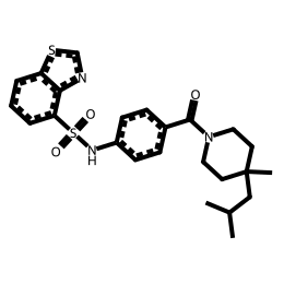 CC(C)CC1(C)CCN(C(=O)c2ccc(NS(=O)(=O)c3cccc4scnc34)cc2)CC1